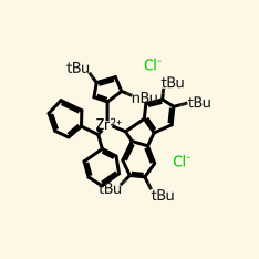 CCCCC1C=C(C(C)(C)C)C=[C]1[Zr+2](=[C](c1ccccc1)c1ccccc1)[CH]1c2cc(C(C)(C)C)c(C(C)(C)C)cc2-c2cc(C(C)(C)C)c(C(C)(C)C)cc21.[Cl-].[Cl-]